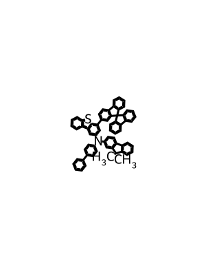 CC1(C)c2ccccc2-c2ccc(N(c3ccc(-c4ccccc4)cc3)c3cc(-c4ccc5c(c4)C4(c6ccccc6-c6ccccc64)c4ccccc4-5)c4sc5ccccc5c4c3)cc21